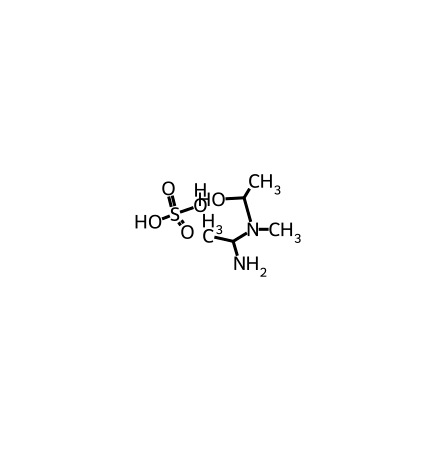 CC(N)N(C)C(C)O.O=S(=O)(O)O